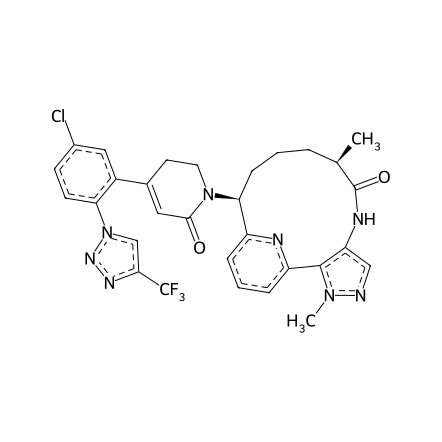 C[C@@H]1CCC[C@H](N2CCC(c3cc(Cl)ccc3-n3cc(C(F)(F)F)nn3)=CC2=O)c2cccc(n2)-c2c(cnn2C)NC1=O